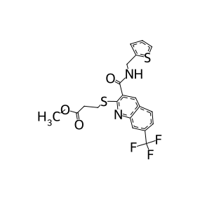 COC(=O)CCSc1nc2cc(C(F)(F)F)ccc2cc1C(=O)NCc1cccs1